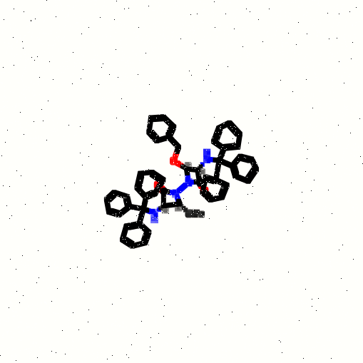 CO[C@@H]1[C@H](NC(c2ccccc2)(c2ccccc2)c2ccccc2)C(=O)N1N1C(=O)[C@@H](NC(c2ccccc2)(c2ccccc2)c2ccccc2)[C@@H]1OCc1ccccc1